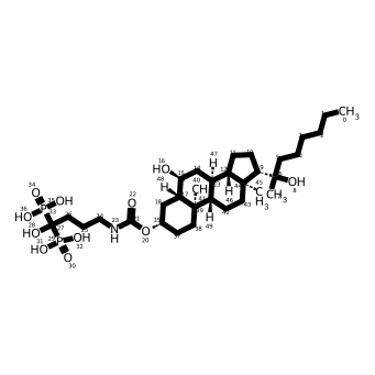 CCCCCCC(C)(O)[C@H]1CC[C@H]2[C@@H]3C[C@H](O)[C@H]4C[C@@H](OC(=O)NCCCC(O)(P(=O)(O)O)P(=O)(O)O)CC[C@]4(C)[C@H]3CC[C@]12C